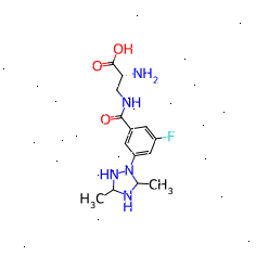 CC1NC(C)N(c2cc(F)cc(C(=O)NC[C@@H](N)C(=O)O)c2)N1